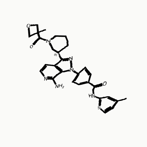 Cc1ccnc(NC(=O)c2ccc(-n3nc([C@@H]4CCCN(C(=O)C5(C)COC5)C4)c4ccnc(N)c43)cc2)c1